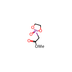 COC(=O)CP1(=O)OCCO1